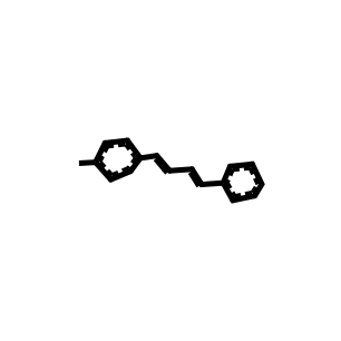 Cc1ccc(C=[C]C=Cc2ccccc2)cc1